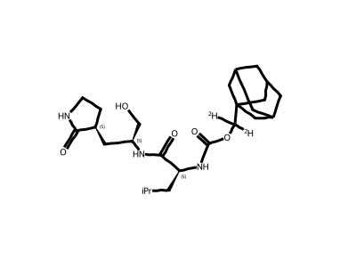 [2H]C([2H])(OC(=O)N[C@@H](CC(C)C)C(=O)N[C@H](CO)C[C@@H]1CCNC1=O)C12CC3CC(CC(C3)C1)C2